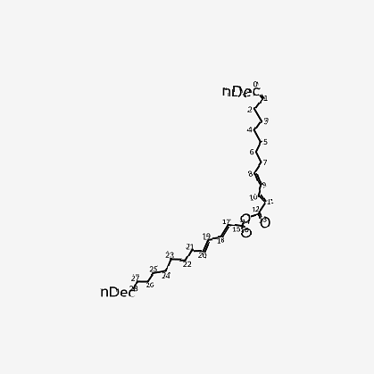 CCCCCCCCCCCCCCCCCC=CC=CC(=O)OC(=O)C=CC=CCCCCCCCCCCCCCCCCC